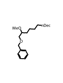 CCCCCCCCCCCCCCC(COCc1ccccc1)OC